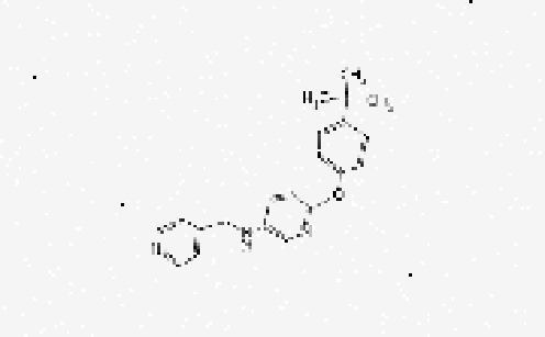 CC(C)(C)c1ccc(Oc2ccc(NCc3ccncc3)cn2)cc1